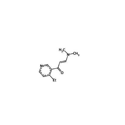 CCc1ccncc1C(=O)/C=C/N(C)C